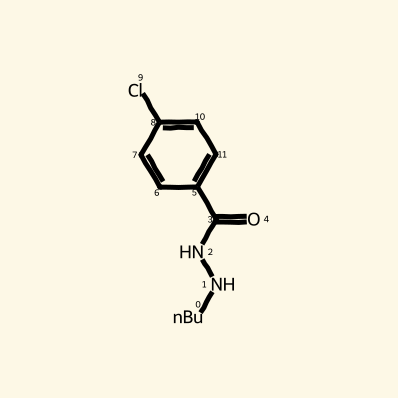 CCCCNNC(=O)c1ccc(Cl)cc1